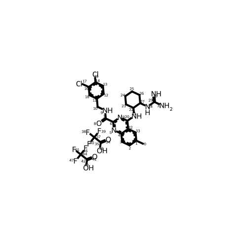 Cc1ccc2nc(C(=O)NCc3ccc(Cl)c(Cl)c3)nc(NC3CCCCC3NC(=N)N)c2c1.O=C(O)C(F)(F)F.O=C(O)C(F)(F)F